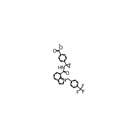 COC(=O)c1ccc(C2(NC(=O)c3cccc4ccn(Cc5ccc(C(F)(F)F)cc5)c34)CC2)cc1